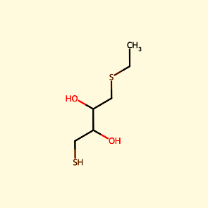 CCSCC(O)C(O)CS